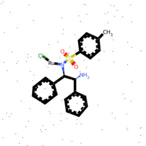 Cc1ccc(S(=O)(=O)[N]([Ru][Cl])[C@H](c2ccccc2)[C@H](N)c2ccccc2)cc1